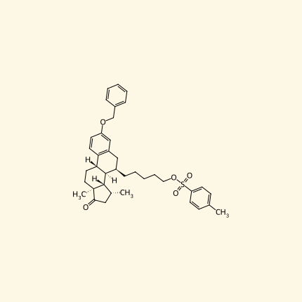 Cc1ccc(S(=O)(=O)OCCCCC[C@@H]2Cc3cc(OCc4ccccc4)ccc3[C@H]3CC[C@]4(C)C(=O)C[C@@H](C)[C@H]4[C@H]23)cc1